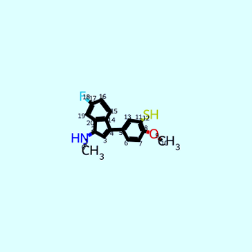 CNC1C=C(c2ccc(OC)c(S)c2)c2ccc(F)cc21